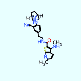 CNc1c(C(=O)NCCc2ccc(N3C[C@H]4CC[C@@H](C3)N4)c(C#N)c2)sc2nc(C)ccc12